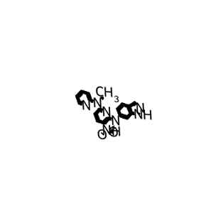 CCN(c1ccccn1)c1ccc([N+](=O)[O-])c(Nc2ccc3cn[nH]c3c2)n1